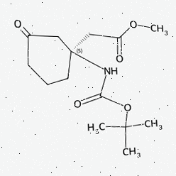 COC(=O)C[C@]1(NC(=O)OC(C)(C)C)CCCC(=O)C1